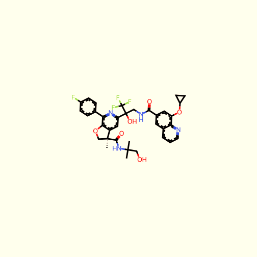 CC(C)(CO)NC(=O)[C@@]1(C)COc2c1cc(C(O)(CNC(=O)c1cc(OC3CC3)c3ncccc3c1)C(F)(F)F)nc2-c1ccc(F)cc1